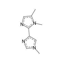 Cc1cnc(-c2cn(C)cn2)n1C